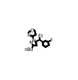 [CH2]CC(c1cccc(F)c1)c1cc(CCCC)nn1-c1ccccn1